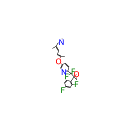 C=NC/C(C)=C/C=C(\C)Oc1ccc(C(F)(F)C2(c3ccc(F)cc3F)CO2)nc1